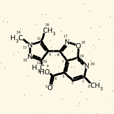 Cc1cc(C(=O)O)c2c(-c3c(C)nn(C)c3C)noc2n1